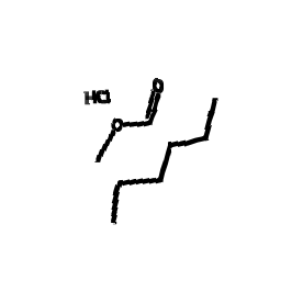 CCCCCC.COC=O.Cl